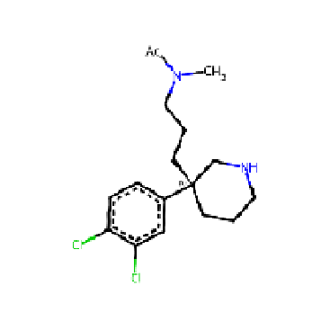 CC(=O)N(C)CCC[C@]1(c2ccc(Cl)c(Cl)c2)CCCNC1